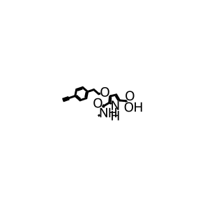 C#Cc1ccc(CCOc2cc(C(=O)O)[nH]c2C(=O)NC)cc1